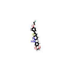 FCCOc1ccc(-c2cc3ccc(Nc4ccc5c(c4)OCCO5)nc3s2)cc1